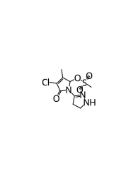 CC1=C(Cl)C(=O)N(C2=NNCC2)C1OS(C)(=O)=O